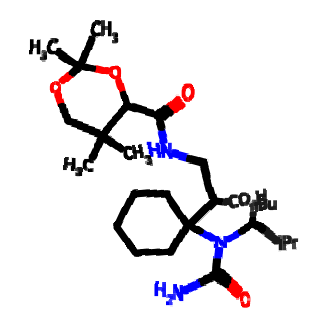 CCCCC(C(C)C)N(C(N)=O)C1(C(CNC(=O)C2OC(C)(C)OCC2(C)C)C(=O)O)CCCCC1